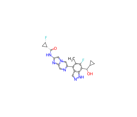 Cc1c(F)c(C(O)C2CC2)c2[nH]ncc2c1-c1cn2cc(NC(=O)[C@@H]3C[C@@H]3F)nc2cn1